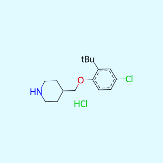 CC(C)(C)c1cc(Cl)ccc1OCC1CCNCC1.Cl